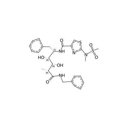 C[C@@H](C(=O)NCc1ccccc1)[C@@H](O)[C@H](O)[C@H](Cc1ccccc1)NC(=O)c1csc(N(C)S(C)(=O)=O)n1